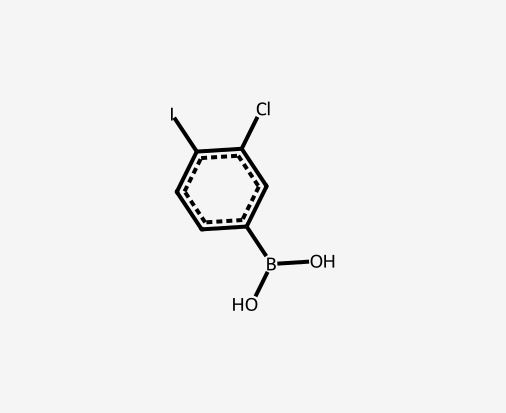 OB(O)c1ccc(I)c(Cl)c1